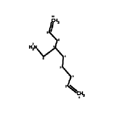 C=CCCCC(CN)CC=C